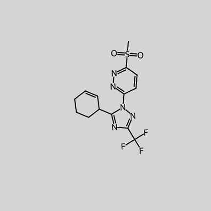 CS(=O)(=O)c1ccc(-n2nc(C(F)(F)F)nc2C2C=CCCC2)nn1